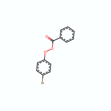 O=C(OOc1ccc(Br)cc1)c1ccccc1